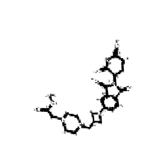 CC(C)(C)OC(=O)CN1CCN(CC2CN(c3ccc4c(c3)C(=O)N(C3CCC(=O)NC3=O)C4=O)C2)CC1